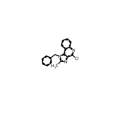 Cc1nc2c(Cl)nc3ccccc3c2n1Cc1ccccc1